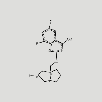 Oc1nc(OC[C@@]23CCCN2C[C@H](F)C3)nc2c(F)cc(F)cc12